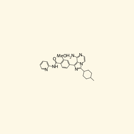 COc1cc(-c2nc(C3CCC(C)CC3)n3ccnc(N)c23)ccc1C(=O)Nc1ccccn1